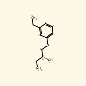 CCc1cccc(OC[C@H](O)CN)c1